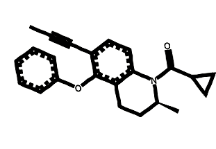 CC#Cc1ccc2c(c1Oc1ccccc1)CC[C@H](C)N2C(=O)C1CC1